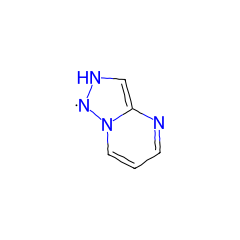 C1=CN2[N]NC=C2N=C1